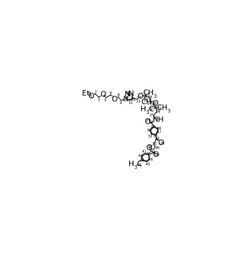 CCOCCOCCOCCn1cc(COC(C)(C)CCOC(C)(C)CCNC(=O)c2ccc(C(=O)CCS(=O)(=O)c3ccc(C)cc3)cc2)nn1